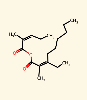 CCC=C(C)C(=O)OC(=O)C(C)=C(CC)CCCCCC